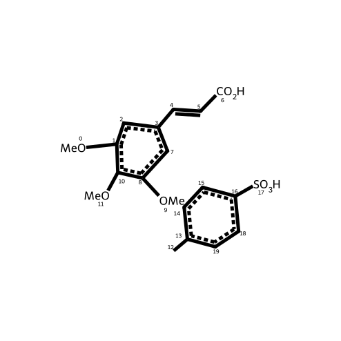 COc1cc(C=CC(=O)O)cc(OC)c1OC.Cc1ccc(S(=O)(=O)O)cc1